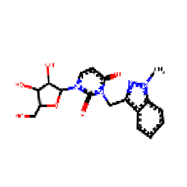 Cn1nc(Cn2c(=O)ccn(C3OC(CO)C(O)C3O)c2=O)c2ccccc21